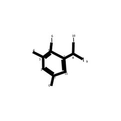 Cc1cc(C)c(I)c(C(I)I)c1